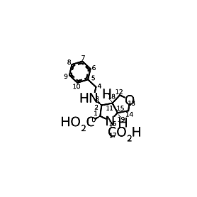 O=C(O)[C@H]1[C@@H](NCc2ccccc2)[C@H]2COC[C@H]2N1C(=O)O